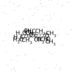 CCCC(CC1CC(=O)c2c(C)c(CC(=O)Cc3cc(C(C)(C)C)cc(C(C)(C)C)c3)cc(C(C)C)c2C1)C(CC)C(=O)CC(C)=O